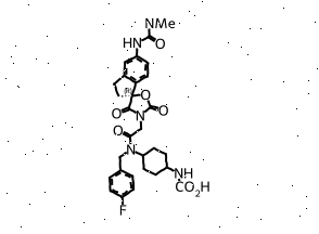 CNC(=O)Nc1ccc2c(c1)CC[C@@]21OC(=O)N(CC(=O)N(Cc2ccc(F)cc2)C2CCC(NC(=O)O)CC2)C1=O